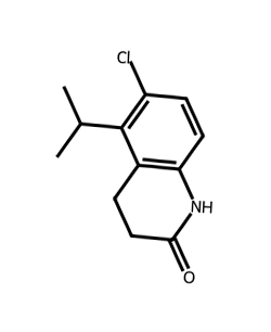 CC(C)c1c(Cl)ccc2c1CCC(=O)N2